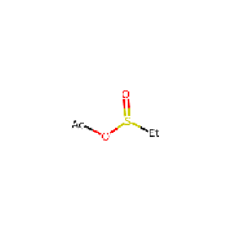 CCS(=O)OC(C)=O